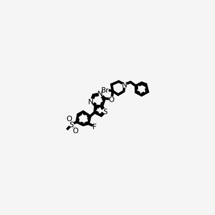 CS(=O)(=O)c1ccc(-c2csc3c(OC4(Br)CCN(Cc5ccccc5)CC4)ncnc23)c(F)c1